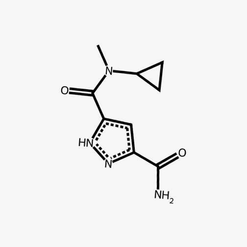 CN(C(=O)c1cc(C(N)=O)n[nH]1)C1CC1